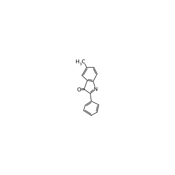 Cc1ccc2c(c1)C(=O)C(c1ccccc1)=N2